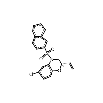 C=C[C@H]1CN(S(=O)(=O)c2ccc3ccccc3c2)c2cc(Cl)ccc2O1